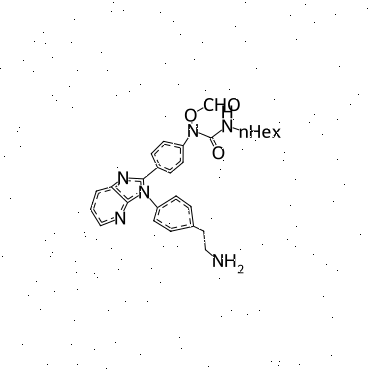 CCCCCCNC(=O)N(OC=O)c1ccc(-c2nc3cccnc3n2-c2ccc(CCN)cc2)cc1